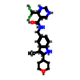 Cc1c(C2CCOCC2)[nH]c2ccc(CNC(=O)c3cncnc3C(F)F)cc12